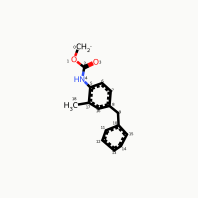 [CH2]OC(=O)Nc1ccc(Cc2ccccc2)cc1C